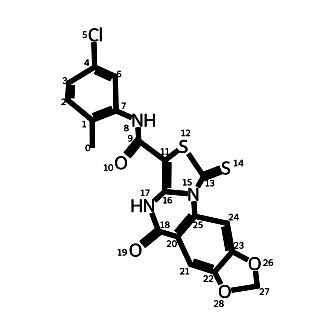 Cc1ccc(Cl)cc1NC(=O)c1sc(=S)n2c1[nH]c(=O)c1cc3c(cc12)OCO3